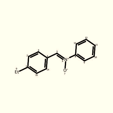 CCc1ccc(C=[N+]([O-])c2ccccc2)cc1